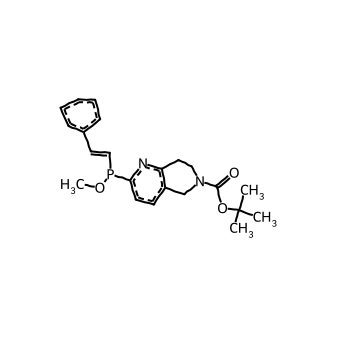 COP(/C=C/c1ccccc1)c1ccc2c(n1)CCN(C(=O)OC(C)(C)C)C2